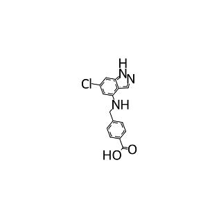 O=C(O)c1ccc(CNc2cc(Cl)cc3[nH]ncc23)cc1